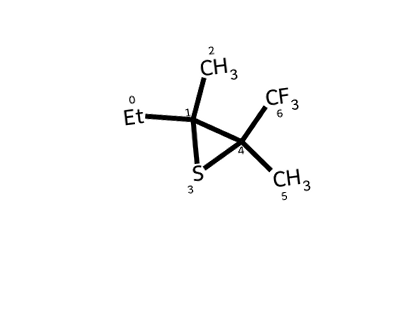 CCC1(C)SC1(C)C(F)(F)F